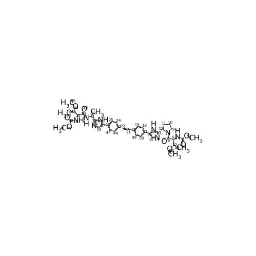 COC(=O)N[C@H](C(=O)N1CCC[C@H]1c1ncc(-c2ccc(C#Cc3ccc(-c4cnc([C@H](C)NC(=O)[C@@H](NC(=O)OC)[C@@H](C)OC)[nH]4)cc3)cc2)[nH]1)C(C)OC